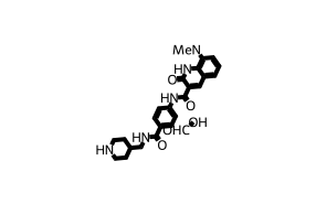 CNc1cccc2cc(C(=O)Nc3ccc(C(=O)NCC4CCNCC4)cc3)c(=O)[nH]c12.O=CO